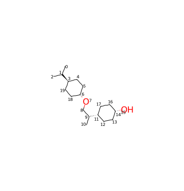 CC(C)[C@H]1CC[C@H](OCC(C)[C@H]2CC[C@@H](O)CC2)CC1